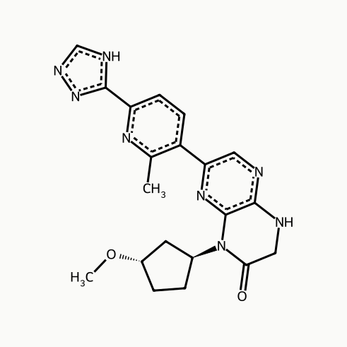 CO[C@H]1CC[C@H](N2C(=O)CNc3ncc(-c4ccc(-c5nnc[nH]5)nc4C)nc32)C1